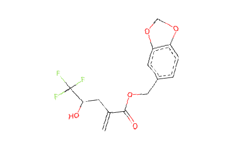 C=C(CC(O)C(F)(F)F)C(=O)OCc1ccc2c(c1)OCO2